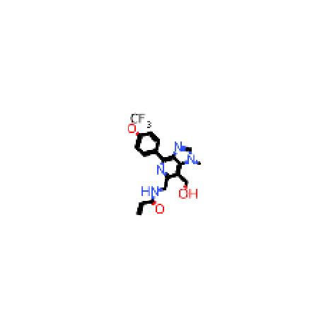 C=CC(=O)NCc1nc(-c2ccc(OC(F)(F)F)cc2)c2ncn(C)c2c1CO